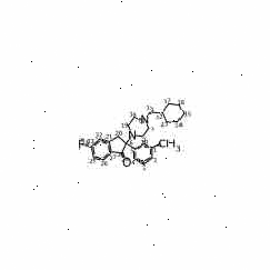 Cc1cccc(C2(N3CCN(CC4CCCCC4)CC3)Cc3cc(F)ccc3C2=O)c1